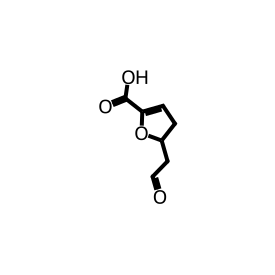 O=CCC1CC=C(C(=O)O)O1